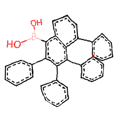 OB(O)c1c(-c2ccccc2)c(-c2ccccc2)c(-c2ccccc2)c2c(-c3ccccc3)cccc12